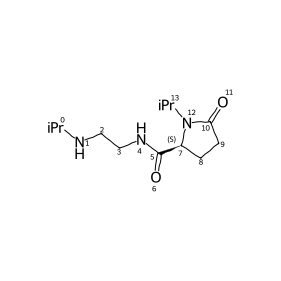 CC(C)NCCNC(=O)[C@@H]1CCC(=O)N1C(C)C